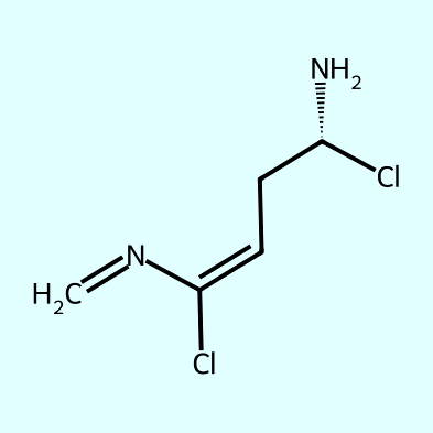 C=N/C(Cl)=C\C[C@H](N)Cl